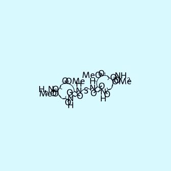 CO[C@H]1C[C@H](C)CC2=C(NCCSCCNC3=C4C[C@@H](C)C[C@H](OC)C(=O)[C@@H](C)/C=C(\C)[C@H](OC(N)=O)[C@@H](OC)/C=C\C=C(/C)C(=O)NC(=CC3=O)C4=O)C(=O)C=C(NC(=O)/C(C)=C/C=C\[C@H](OC)[C@@H](OC(N)=O)/C(C)=C/[C@H](C)C1=O)C2=O